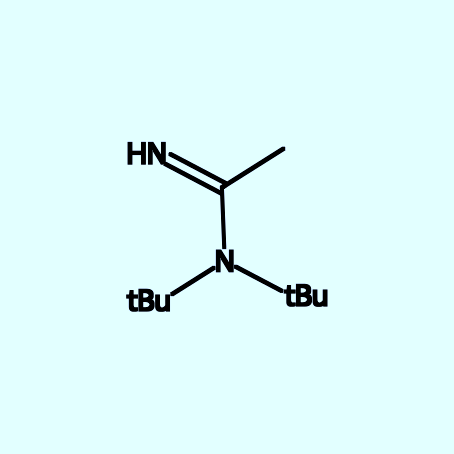 CC(=N)N(C(C)(C)C)C(C)(C)C